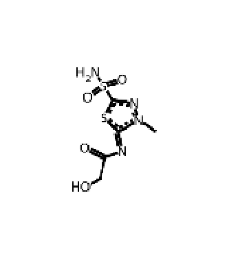 Cn1nc(S(N)(=O)=O)s/c1=N\C(=O)CO